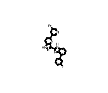 CCc1cncc(-c2ccc3[nH]nc(-c4nc5c(-c6cccc(F)c6)cccc5[nH]4)c3n2)c1